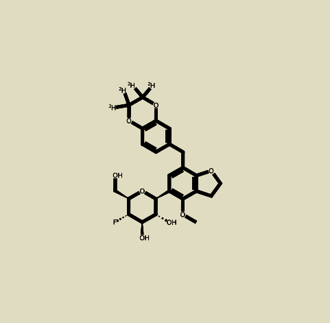 [2H]C1([2H])Oc2ccc(Cc3cc([C@@H]4O[C@H](CO)[C@@H](F)[C@H](O)[C@H]4O)c(OC)c4c3OCC4)cc2OC1([2H])[2H]